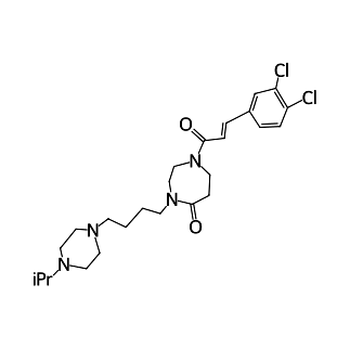 CC(C)N1CCN(CCCCN2CCN(C(=O)C=Cc3ccc(Cl)c(Cl)c3)CCC2=O)CC1